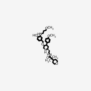 COCCCNc1cc(CO[C@H]2CN[C@H](CCNC(=O)C(C)(C)C3CCOCC3)CC2c2ccc(OC)cc2)ccc1O